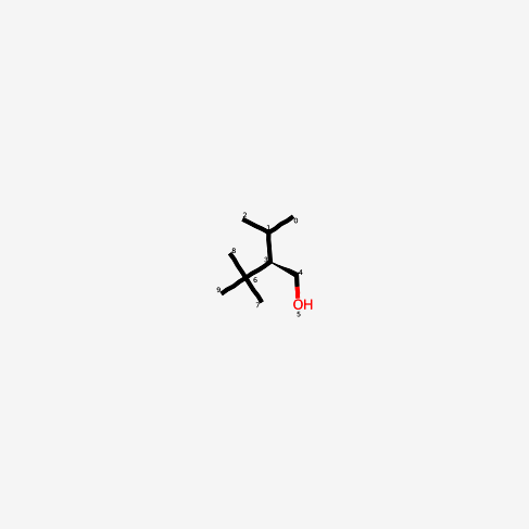 CC(C)[C@@H](CO)C(C)(C)C